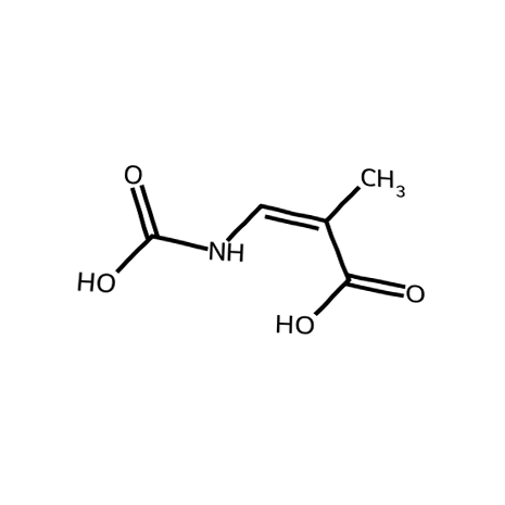 CC(=CNC(=O)O)C(=O)O